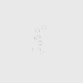 COc1ccc(-c2cccc(-c3nc(-c4ccc(C[C@H](N)C(=O)O)cc4)no3)c2)cc1